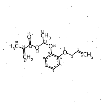 C=CCOc1ccccc1OC(C)OC(=O)C(=C)C